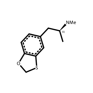 CN[C@@H](C)Cc1ccc2c(c1)SCO2